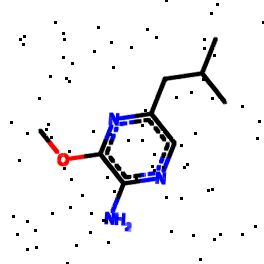 COc1nc(CC(C)C)cnc1N